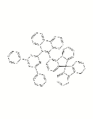 C1=CC2=C(CC1)c1ccccc1C21c2ccccc2-c2c(-c3c(-c4nc(-c5ccccc5)nc(-c5ccccc5)n4)c4ccccc4c4ccccc34)cccc21